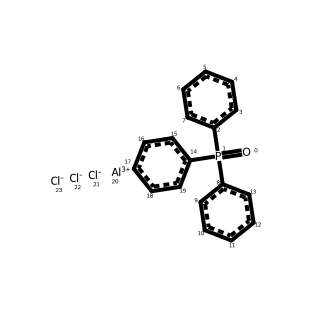 O=P(c1ccccc1)(c1ccccc1)c1ccccc1.[Al+3].[Cl-].[Cl-].[Cl-]